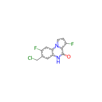 O=c1[nH]c2cc(CCl)c(F)cc2n2ccc(F)c12